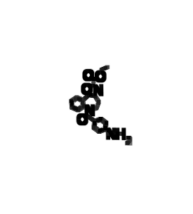 CCOC(=O)c1nc2c(o1)-c1ccccc1N(C(=O)c1ccc(N)cc1)CC2